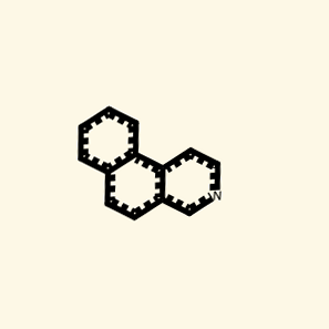 c1ccc2c(c1)ccc1cnccc12